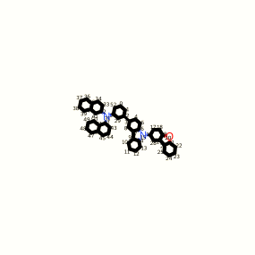 c1cc(-c2ccc3c(c2)c2ccccc2n3-c2ccc3oc4ccccc4c3c2)cc(N(c2ccc3ccccc3c2)c2cccc3ccccc23)c1